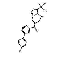 C[C@H]1CN(C(=O)c2cncc(-c3ccc(F)cc3)c2)Cc2cnc(C(C)(O)C(F)(F)F)n21